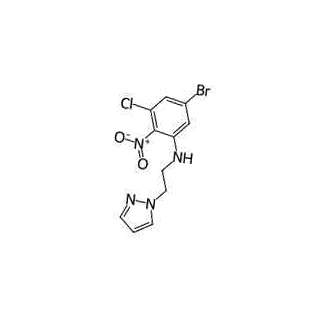 O=[N+]([O-])c1c(Cl)cc(Br)cc1NCCn1cccn1